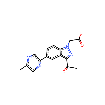 CC(=O)c1nn(CC(=O)O)c2ccc(-c3cnc(C)cn3)cc12